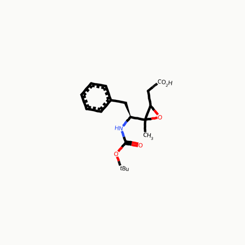 CC(C)(C)OC(=O)N[C@@H](Cc1ccccc1)C1(C)OC1CC(=O)O